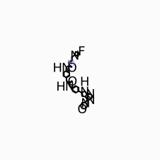 O=C(/C=C/CN1CC(F)C1)Nc1ccc(CC(=O)Nc2ccc(-c3cc4c(N5CCOCC5)ncnc4[nH]3)cc2)cc1